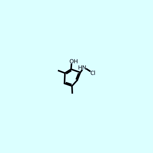 Cc1cc(C)c(O)c(NCl)c1